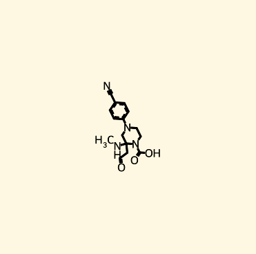 CNC1(CC=O)CN(c2ccc(C#N)cc2)CCN1C(=O)O